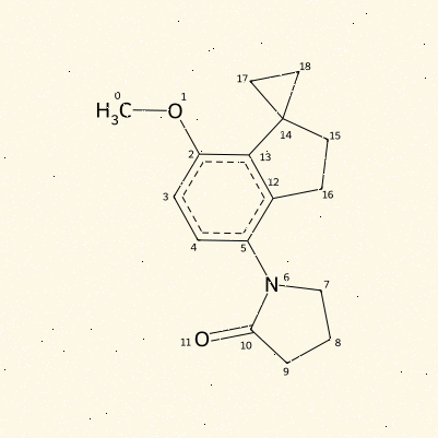 COc1ccc(N2CCCC2=O)c2c1C1(CC2)CC1